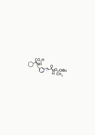 CC(C)COC(C)ONC(=O)/C=C/c1cccc(CN[C@H](C(=O)O)C2CCCCC2)c1